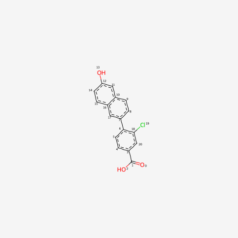 O=C(O)c1ccc(-c2ccc3cc(O)ccc3c2)c(Cl)c1